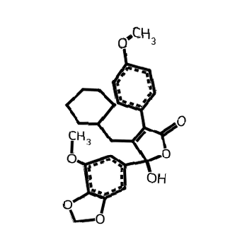 COc1ccc(C2=C(CC3CCCCC3)C(O)(c3cc(OC)c4c(c3)OCO4)OC2=O)cc1